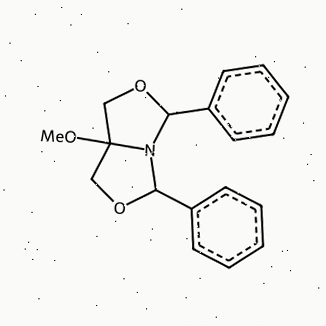 COC12COC(c3ccccc3)N1C(c1ccccc1)OC2